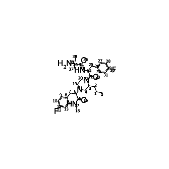 CCCC1CN(C(Cc2ccc(F)cc2)C(=O)NC)CCN1C(=O)C(Cc1ccc(F)cc1)NC(=O)C(C)(C)N